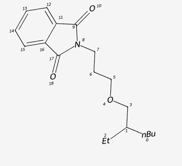 CCCCC(CC)COCCCN1C(=O)c2ccccc2C1=O